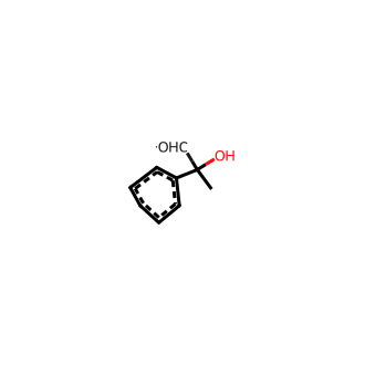 CC(O)([C]=O)c1ccccc1